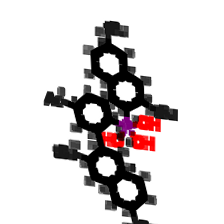 CC(=O)c1ccc(P(O)(O)(O)c2cc3ccc(C(C)(C)C)cc3cc2C(C)(C)C)c(-c2cc3ccc(C(C)(C)C)cc3cc2C(C)(C)C)c1